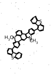 CN1c2cc(-c3cccc4sc5ccccc5c34)ccc2-c2cc3c(c4cccc1c24)c1ccc(-c2cccc4sc5ccccc5c24)cc1n3C